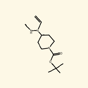 C=CN(NC)C1CCN(C(=O)OC(C)(C)C)CC1